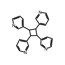 c1cncc(C2C(c3cccnc3)C(c3cccnc3)C2c2cccnc2)c1